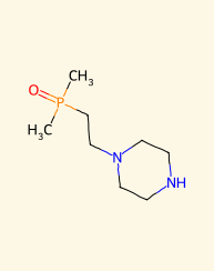 CP(C)(=O)CCN1CCNCC1